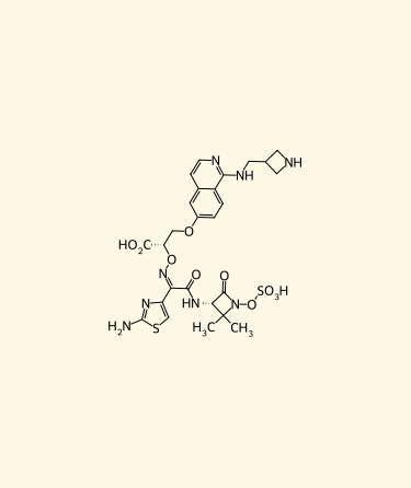 CC1(C)[C@H](NC(=O)/C(=N\O[C@@H](COc2ccc3c(NCC4CNC4)nccc3c2)C(=O)O)c2csc(N)n2)C(=O)N1OS(=O)(=O)O